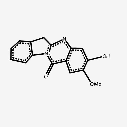 COc1cc2c(=O)n3c(nc2cc1O)Cc1ccccc1-3